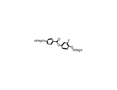 CCCCCCCOc1ccc(OC(=O)c2ccc(CCCCCCC)cc2)cc1F